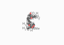 CCC(C)C(=O)[C@H](CCC(=O)O)NC(=O)[C@H](CCCNC(N)N)NN1CCC[C@H]1C(=O)CC(=O)[C@H](C)NCC(=O)[C@H](CC(N)=O)NC(=O)[C@H](CCC(N)=O)NC(=O)[C@H](Cc1ccccc1)NC